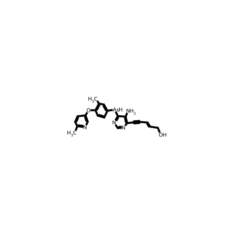 Cc1ccc(Oc2ccc([AsH]c3ncnc(C#C/C=C/CO)c3N)cc2C)cn1